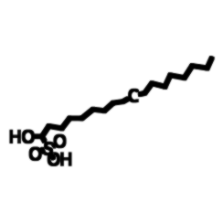 CCCCCCCCCCCCCCCCCC(O)S(=O)(=O)O